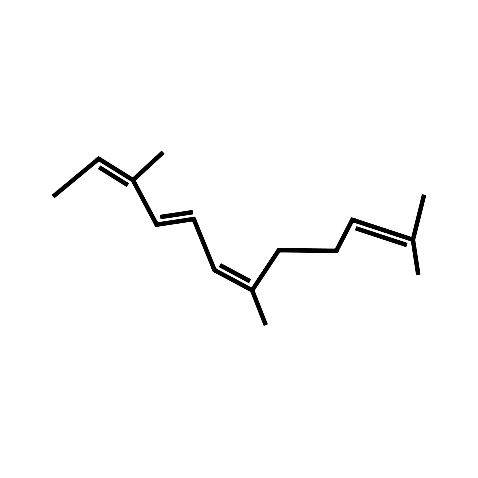 CC=C(C)C=CC=C(C)CCC=C(C)C